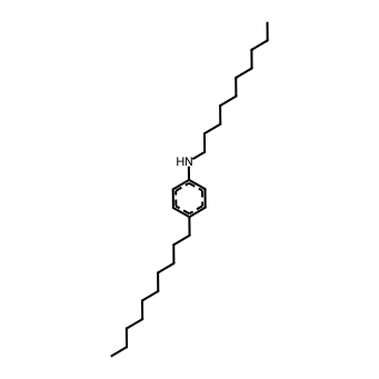 CCCCCCCCCCNc1ccc(CCCCCCCCCC)cc1